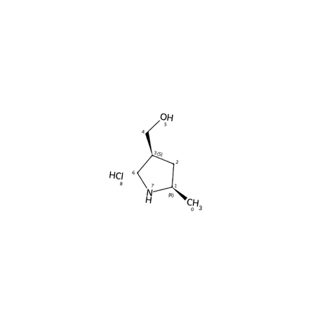 C[C@@H]1C[C@H](CO)CN1.Cl